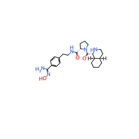 NC(=NO)c1ccc(CCNC(=O)[C@@H]2CCCN2C(=O)[C@@H]2NCC[C@@H]3CCCC[C@@H]32)cc1